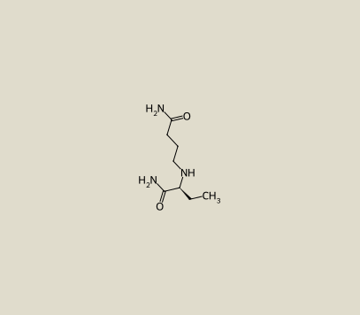 CC[C@H](NCCCC(N)=O)C(N)=O